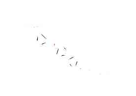 CCCCCCCCCCCCOC(C)c1ccc(-c2ccc(C(=O)Oc3ccc(OC(CCC)CCCCCCCCCCC)cc3)cc2)cc1